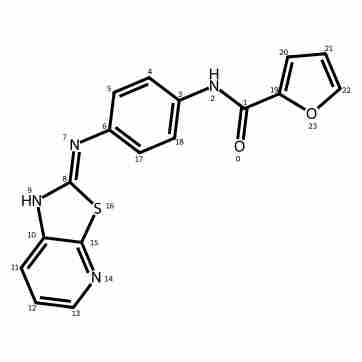 O=C(Nc1ccc(N=c2[nH]c3cccnc3s2)cc1)c1ccco1